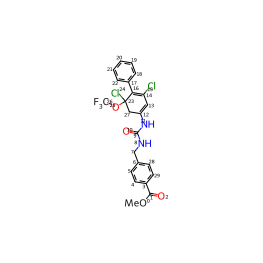 COC(=O)c1ccc(CNC(=O)NC2=CC(Cl)=C(c3ccccc3)C(Cl)(OC(F)(F)F)C2)cc1